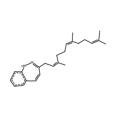 CC(C)=CCCC(C)=CCCC(C)=CCC1=NNc2ccccc2C=C1